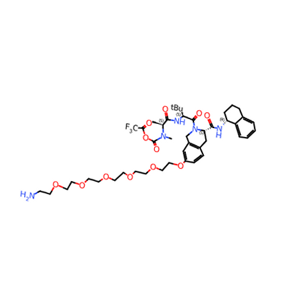 C[C@@H](C(=O)N[C@H](C(=O)N1Cc2cc(OCCOCCOCCOCCOCCOCCN)ccc2C[C@H]1C(=O)N[C@@H]1CCCc2ccccc21)C(C)(C)C)N(C)C(=O)OC(=O)C(F)(F)F